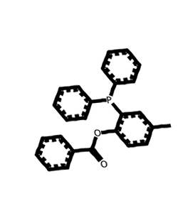 Cc1ccc(OC(=O)c2ccccc2)c(P(c2ccccc2)c2ccccc2)c1